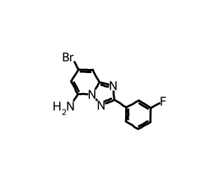 Nc1cc(Br)cc2nc(-c3cccc(F)c3)nn12